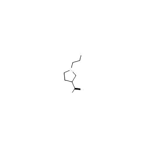 [O]CCN1CCC(C(=O)O)C1